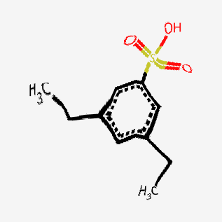 CCc1cc(CC)cc(S(=O)(=O)O)c1